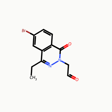 CCc1nn(CC=O)c(=O)c2ccc(Br)cc12